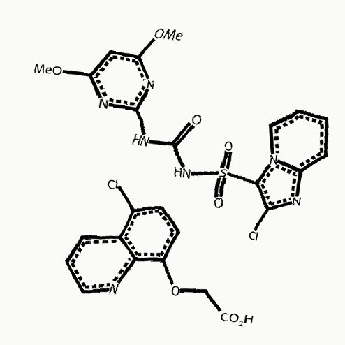 COc1cc(OC)nc(NC(=O)NS(=O)(=O)c2c(Cl)nc3ccccn23)n1.O=C(O)COc1ccc(Cl)c2cccnc12